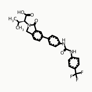 CC(C)[C@@H](C(=O)O)N1Cc2ccc(-c3ccc(NC(=O)Nc4ccc(C(F)(F)F)cc4)cc3)cc2C1=O